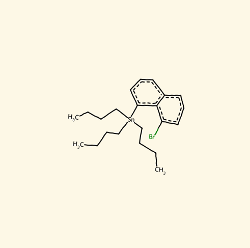 CCC[CH2][Sn]([CH2]CCC)([CH2]CCC)[c]1cccc2cccc(Br)c12